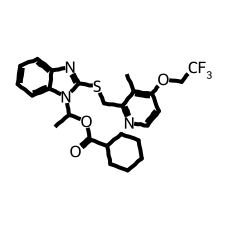 Cc1c(OCC(F)(F)F)ccnc1CSc1nc2ccccc2n1C(C)OC(=O)C1CCCCC1